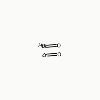 [O]=[BiH].[O]=[Zr]